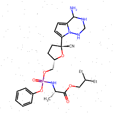 CCC(CC)COC(=O)[C@H](C)NP(=O)(OC[C@@H]1CC[C@](C#N)(c2ccc3n2NCNC3N)O1)Oc1ccccc1